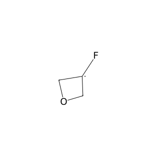 F[C]1COC1